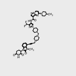 CC1CCN(c2ccn3ncc(C(=O)Nc4cn([C@H]5CC[C@H](CN6CCN(CC#Cc7cccc8c7n(C)c(=O)n8C7CCC(=O)NC7=O)CC6)CC5)nc4C(F)F)c3n2)CC1